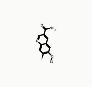 CCOc1cc2cc(C(N)=O)cnc2cc1F